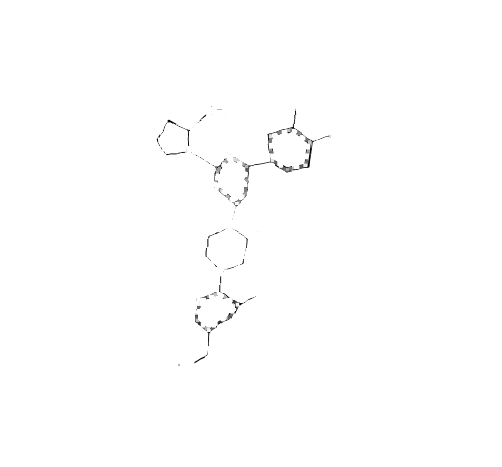 C[C@@H]1CN(c2ncc(CC=O)cc2Cl)CCN1c1cc(-c2ccc(F)c(Cl)c2)nc(N2CCC[C@H]2C)n1